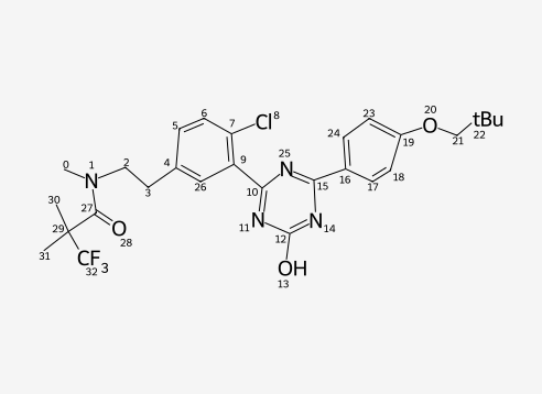 CN(CCc1ccc(Cl)c(-c2nc(O)nc(-c3ccc(OCC(C)(C)C)cc3)n2)c1)C(=O)C(C)(C)C(F)(F)F